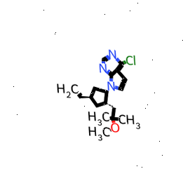 C=C[C@@H]1C[C@@H](CC(C)(C)OC)[C@H](n2ccc3c(Cl)ncnc32)C1